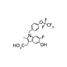 Cc1c(CC(=O)O)c2cc(O)c(F)cc2n1Cc1ccc(OC(F)(F)C(F)(F)F)cc1